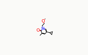 COCCn1cc(C2CC2)cc(C)c1=O